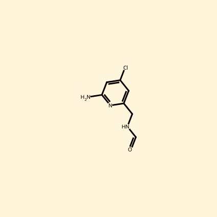 Nc1cc(Cl)cc(CNC=O)n1